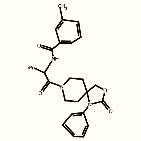 Cc1cccc(C(=O)NC(C(=O)N2CCC3(CC2)COC(=O)N3c2ccccc2)C(C)C)c1